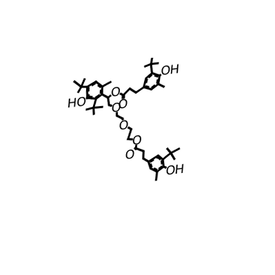 Cc1cc(CCC(=O)OCCOCCOCC(OC(=O)CCc2cc(C)c(O)c(C(C)(C)C)c2)c2c(C)cc(C(C)(C)C)c(O)c2C(C)(C)C)cc(C(C)(C)C)c1O